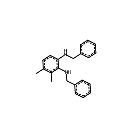 Cc1ccc(NCc2ccccc2)c(NCc2ccccc2)c1C